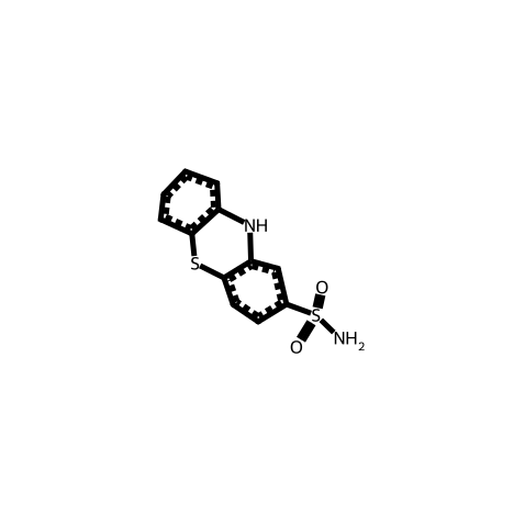 NS(=O)(=O)c1ccc2c(c1)Nc1ccccc1S2